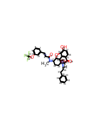 CN(C(=O)/C=C/c1cccc(OC(F)(F)F)c1)C1CC[C@@]2(O)[C@H]3C(=O)c4ccc(O)c5c4[C@@]2(CCN3CCc2ccccc2)C1O5